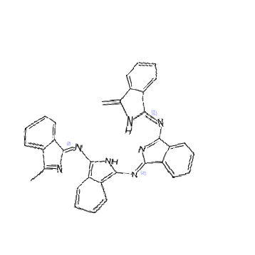 C=C1N/C(=N\C2=NC(=N\c3[nH]c(/N=C4\N=C(C)c5ccccc54)c4ccccc34)/c3ccccc32)c2ccccc21